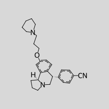 N#Cc1ccc([C@@H]2CN3CCC[C@H]3c3cc(OCCCN4CCCCC4)ccc32)cc1